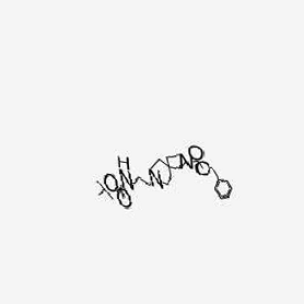 CC(C)(C)OC(=O)NCCCN1CCC2(CC1)CCN(C(=O)OCc1ccccc1)C2